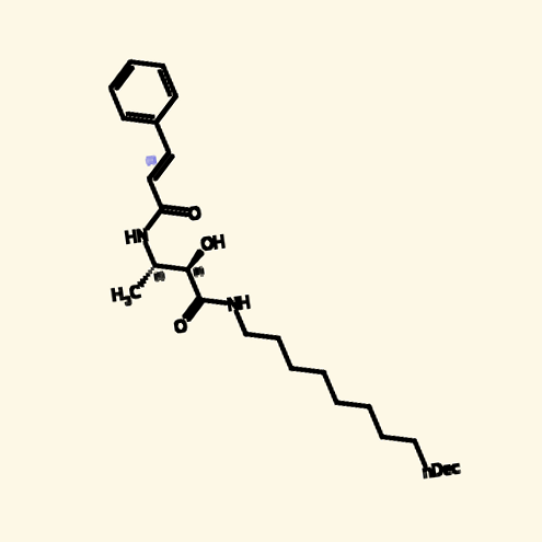 CCCCCCCCCCCCCCCCCCNC(=O)[C@H](O)[C@H](C)NC(=O)/C=C/c1ccccc1